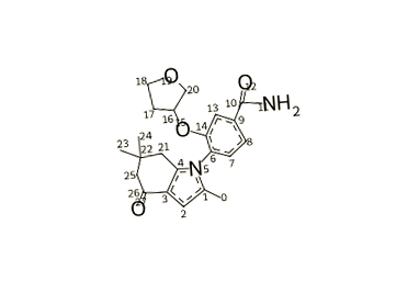 Cc1cc2c(n1-c1ccc(C(N)=O)cc1OC1CCOC1)CC(C)(C)CC2=O